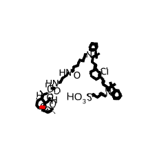 C[C@H]1C(OC(=O)NCCCNC(=O)CCCCCN2/C(=C/C=C3\CCCC(/C=C/C4=[N+](CCCCS(=O)(=O)O)c5ccccc5C4(C)C)=C3Cl)C(C)(C)c3ccccc32)O[C@@H]2O[C@@]3(C)CC[C@@]45C[C@@]4(C)CC[C@@H]1[C@@]25OO3